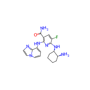 NC(=O)c1cc(F)c(N[C@@H]2CCCC[C@@H]2N)nc1Nc1cccn2ccnc12